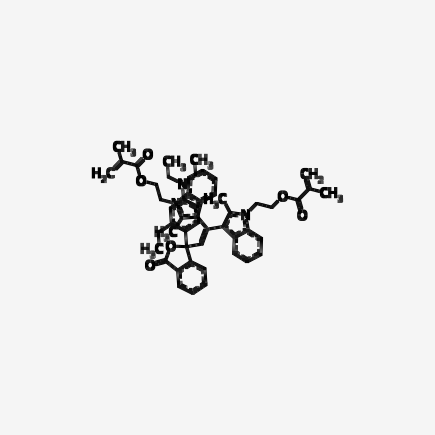 C=C(C)C(=O)OCCn1c(C)c(C(=CC2(c3ccc(N(CC)CC)cc3CC)OC(=O)c3ccccc32)c2c(C)n(CCOC(=O)C(=C)C)c3ccccc23)c2ccccc21